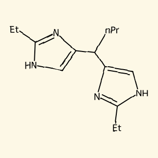 CCCC(c1c[nH]c(CC)n1)c1c[nH]c(CC)n1